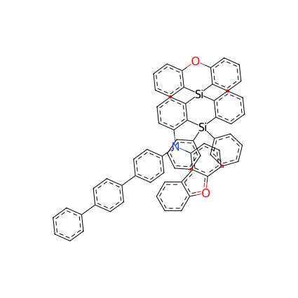 c1ccc(-c2ccc(-c3ccc(N(c4cccc5c4[Si](c4ccccc4)(c4ccccc4)c4ccccc4[Si]54c5ccccc5Oc5ccccc54)c4cccc5oc6ccccc6c45)cc3)cc2)cc1